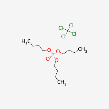 CCCCOP(=O)(OCCCC)OCCCC.ClC(Cl)(Cl)Cl